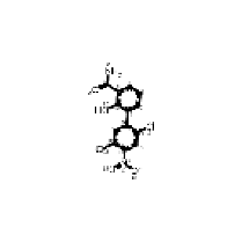 NC(=O)c1cccc(-c2cc(Cl)c([N+](=O)[O-])cc2Cl)c1O